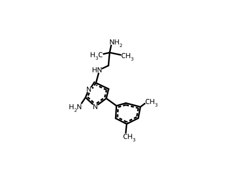 Cc1cc(C)cc(-c2cc(NCC(C)(C)N)nc(N)n2)c1